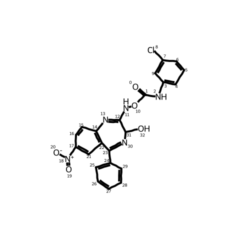 O=C(Nc1cccc(Cl)c1)ONC1=Nc2ccc([N+](=O)[O-])cc2C(c2ccccc2)=NC1O